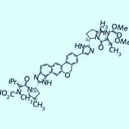 COC(=O)N[C@H](C(=O)N1[C@@H](C)CC[C@H]1c1ncc(-c2ccc3c(c2)COc2cc4c(ccc5nc([C@@H]6C[C@H](C)CN6C(=O)[C@H](C(C)C)N(C)C(=O)O)[nH]c54)cc2-3)[nH]1)[C@@H](C)OC